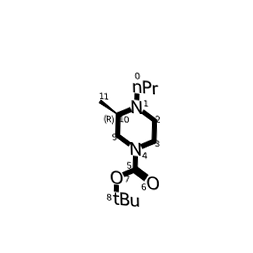 CCCN1CCN(C(=O)OC(C)(C)C)C[C@H]1C